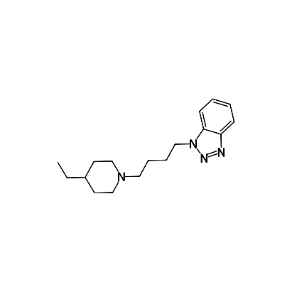 CCC1CCN(CCCCn2nnc3ccccc32)CC1